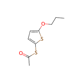 CCCOc1ccc(SC(C)=O)s1